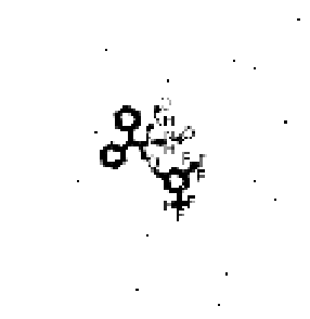 O=CNCN(CNC=O)C(COCc1cc(C(F)(F)F)cc(C(F)(F)F)c1)C(c1ccccc1)c1ccccc1